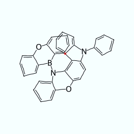 c1ccc(-n2c3ccccc3c3c4c(ccc32)Oc2ccccc2N4B2c3ccccc3Oc3ccccc32)cc1